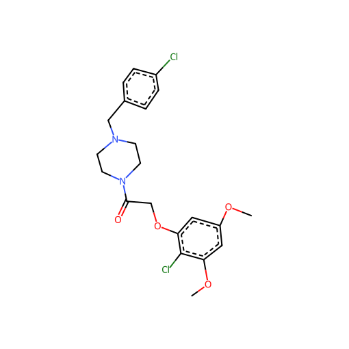 COc1cc(OC)c(Cl)c(OCC(=O)N2CCN(Cc3ccc(Cl)cc3)CC2)c1